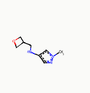 Cn1cc(NCC2COC2)cn1